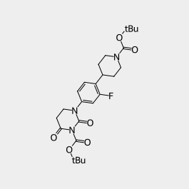 CC(C)(C)OC(=O)N1CCC(c2ccc(N3CCC(=O)N(C(=O)OC(C)(C)C)C3=O)cc2F)CC1